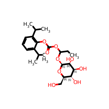 CCC(OC(=O)Oc1c(C(C)C)cccc1C(C)C)O[C@@H]1O[C@H](CO)[C@@H](O)[C@H](O)[C@H]1O